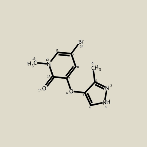 Cc1n[nH]cc1Oc1cc(Br)cn(C)c1=O